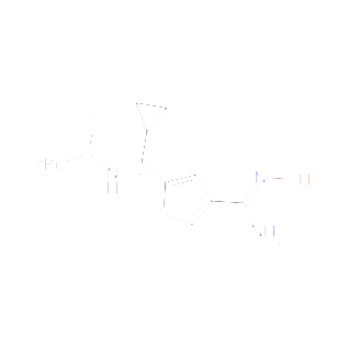 CC(C)(C)[S+]([O-])N[C@@H](c1cc(C(N)=NO)cs1)C1CC1